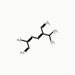 B/C(C=C)=C/C=C(\C=C)C(C)C